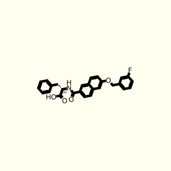 O=C(N[C@@H](Cc1ccccc1)C(=O)O)c1ccc2cc(OCc3cccc(F)c3)ccc2c1